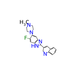 CN1CCN(c2cc3nc(-c4cnc5ccccc5c4)[nH]c3cc2F)CC1